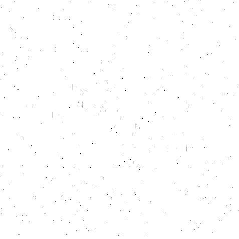 O=S(=O)(O)CCCCN1C=CC(C=Cc2ccc(N(CCO)CCO)cc2)=CC1